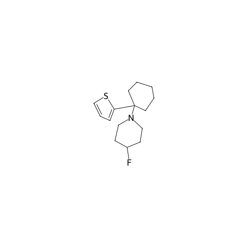 FC1CCN(C2(c3cccs3)CCCCC2)CC1